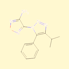 CC(C)c1nnn(-c2nonc2N)c1-c1ccccc1